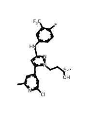 Cc1cc(-c2cc(Nc3ccc(F)c(C(F)(F)F)c3)nn2CC[C@H](C)O)cc(Cl)n1